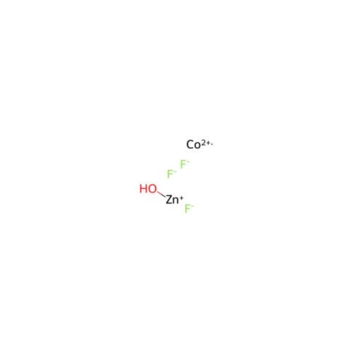 [Co+2].[F-].[F-].[F-].[OH][Zn+]